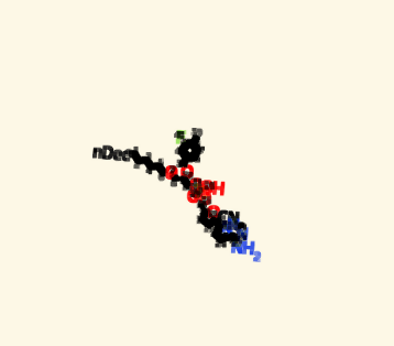 CCCCCCCCCCCCCCCCOC[C@H](COP(=O)(O)OC[C@@H]1CC[C@](C#N)(c2ccc3c(N)ncnn23)O1)OCc1ccc(C)c(F)c1